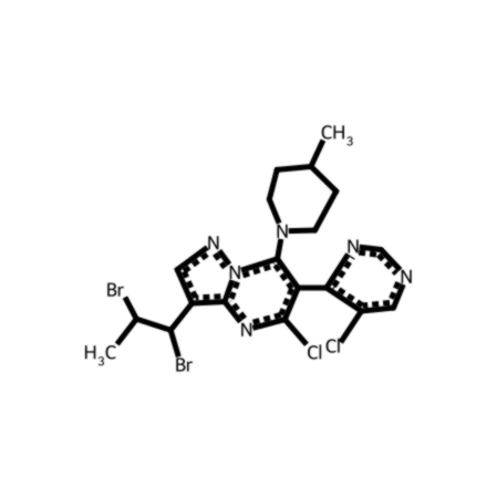 CC1CCN(c2c(-c3ncncc3Cl)c(Cl)nc3c(C(Br)C(C)Br)cnn23)CC1